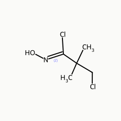 CC(C)(CCl)/C(Cl)=N/O